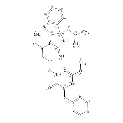 CCC(CCCNC(=O)[C@H](Cc1ccccc1)NC(=O)OC)N1C(=N)N[C@](CC(C)C)(c2ccccc2)C1=O